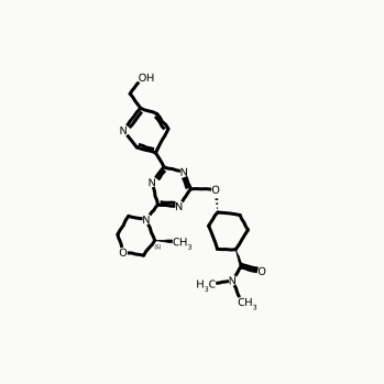 C[C@H]1COCCN1c1nc(O[C@H]2CC[C@H](C(=O)N(C)C)CC2)nc(-c2ccc(CO)nc2)n1